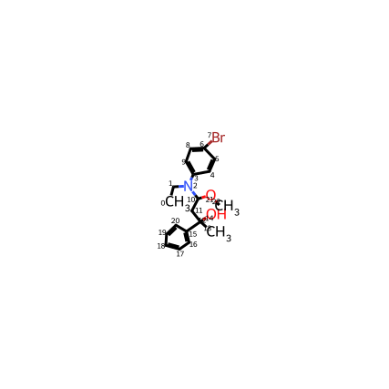 CCN(c1ccc(Br)cc1)C(CC(C)(O)c1ccccc1)OC